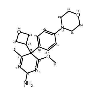 COC1=NC(N)N=C(C)C1(c1ccc(N2CCOCC2)cc1)C1COC1